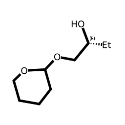 CC[C@@H](O)COC1CCCCO1